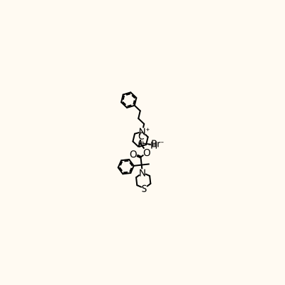 CC(C(=O)O[C@H]1C[N+]2(CCCc3ccccc3)CCC1CC2)(c1ccccc1)N1CCSCC1.[Br-]